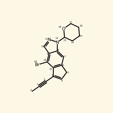 CC#CC1=CCc2cc3c(cnn3C3CCCCO3)c(Br)c21